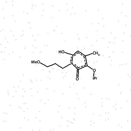 COCCCn1c(O)cc(C)c(OC(C)C)c1=O